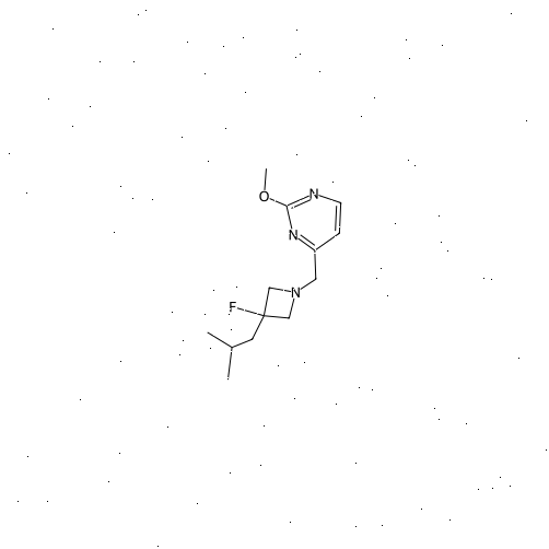 COc1nccc(CN2CC(F)(CC(C)C)C2)n1